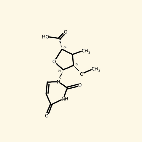 CO[C@H]1C(C)[C@@H](C(=O)O)O[C@H]1n1ccc(=O)[nH]c1=O